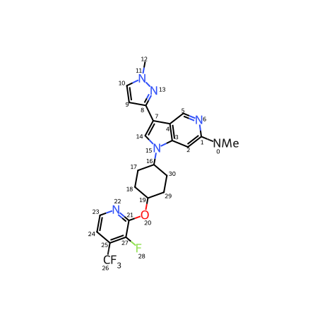 CNc1cc2c(cn1)c(-c1ccn(C)n1)cn2C1CCC(Oc2nccc(C(F)(F)F)c2F)CC1